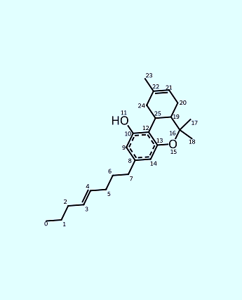 CCC/C=C/CCCc1cc(O)c2c(c1)OC(C)(C)C1CC=C(C)CC21